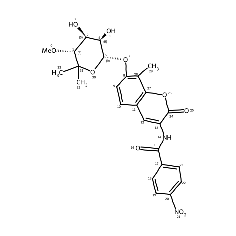 CO[C@@H]1[C@@H](O)[C@@H](O)[C@H](Oc2ccc3cc(NC(=O)c4ccc([N+](=O)[O-])cc4)c(=O)oc3c2C)OC1(C)C